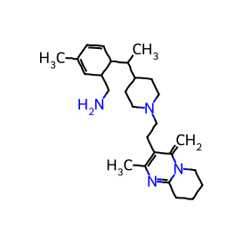 C=C1C(CCN2CCC(C(C)C3C=CC(C)=CC3CN)CC2)=C(C)N=C2CCCCN12